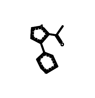 CC(=O)c1sccc1-c1cc[c]cc1